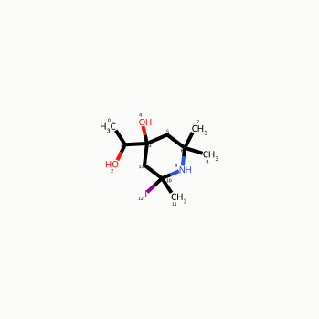 CC(O)C1(O)CC(C)(C)NC(C)(I)C1